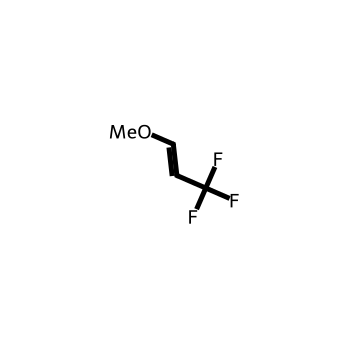 CO/C=C/C(F)(F)F